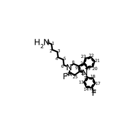 NCCCCCCN1Cc2c(n(-c3ccc(F)cc3)c3ccccc23)C[C@@H]1F